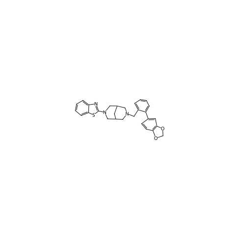 c1ccc(-c2ccc3c(c2)OCO3)c(CN2CC3CC(C2)CN(c2nc4ccccc4s2)C3)c1